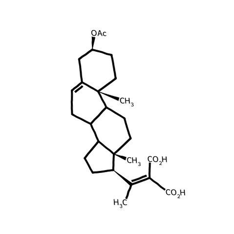 CC(=O)O[C@H]1CC[C@@]2(C)C(=CCC3C2CC[C@@]2(C)C3CC[C@@H]2C(C)=C(C(=O)O)C(=O)O)C1